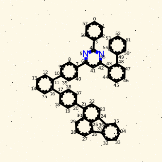 c1ccc(-c2nc(-c3ccc(-c4ccccc4-c4ccc(-c5ccc6c7c(cccc57)-c5ccccc5-6)cc4)cc3)cc(-c3ccccc3-c3ccccc3)n2)cc1